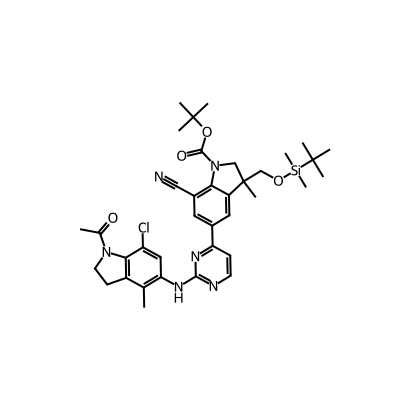 CC(=O)N1CCc2c(C)c(Nc3nccc(-c4cc(C#N)c5c(c4)C(C)(CO[Si](C)(C)C(C)(C)C)CN5C(=O)OC(C)(C)C)n3)cc(Cl)c21